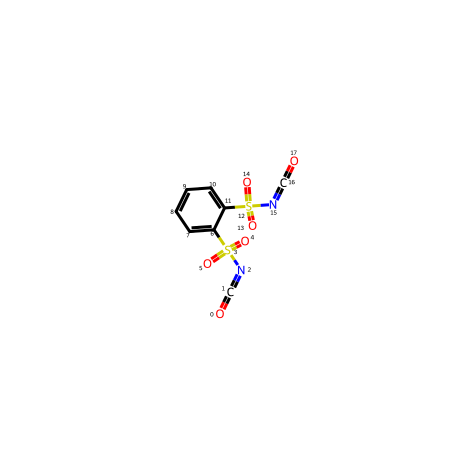 O=C=NS(=O)(=O)c1ccccc1S(=O)(=O)N=C=O